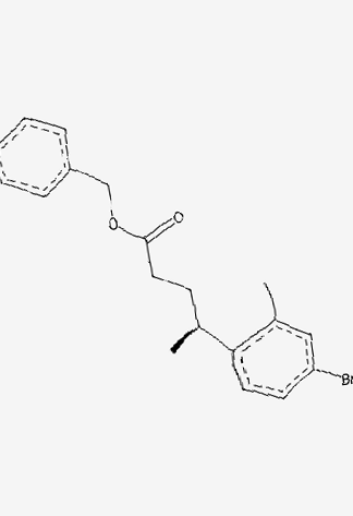 Cc1cc(Br)ccc1[C@@H](C)CCC(=O)OCc1ccccc1